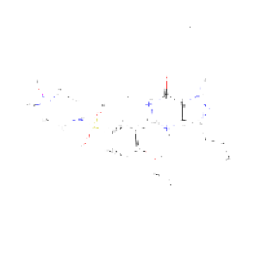 CCCc1nn(C)c2c(=O)[nH]c(-c3cc(S(=O)(=O)N4CC[N+](C)([O-])CC4)ccc3OCC)nc12